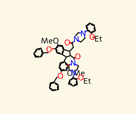 CCOc1ccccc1N1CCN(C(=O)CC2c3cc(OC)c(OCc4ccccc4)cc3C(c3ccc(OCc4ccccc4)c(OC)c3)C2C(=O)N2CCN(c3ccccc3OCC)CC2)CC1